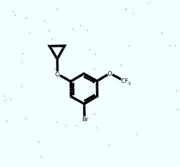 FC(F)(F)Oc1cc(Br)cc(OC2CC2)c1